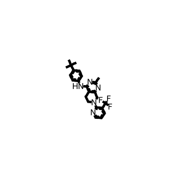 Cc1nc2c(c(Nc3ccc(C(C)(C)C)cc3)n1)CCN(c1ncccc1C(F)(F)F)C2